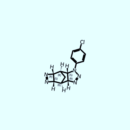 Clc1ccc(N2N=N[C@@H]3[C@@H]4C[C@@H]([C@H]5N=N[C@@H]45)[C@@H]32)cc1